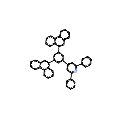 c1ccc(-c2cc(-c3cc(-c4cc5ccccc5c5ccccc45)cc(-c4cc5ccccc5c5ccccc45)c3)cc(-c3ccccc3)n2)cc1